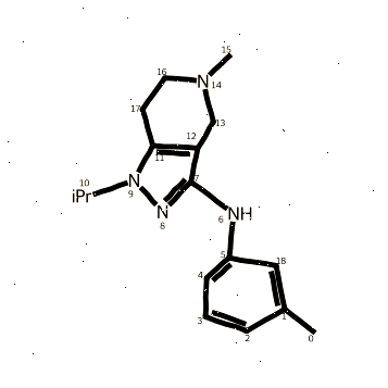 Cc1cccc(Nc2nn(C(C)C)c3c2CN(C)CC3)c1